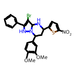 COc1ccc(C2CC(c3ccc([N+](=O)[O-])s3)NC3C(Br)=C(c4ccccc4)NN32)cc1OC